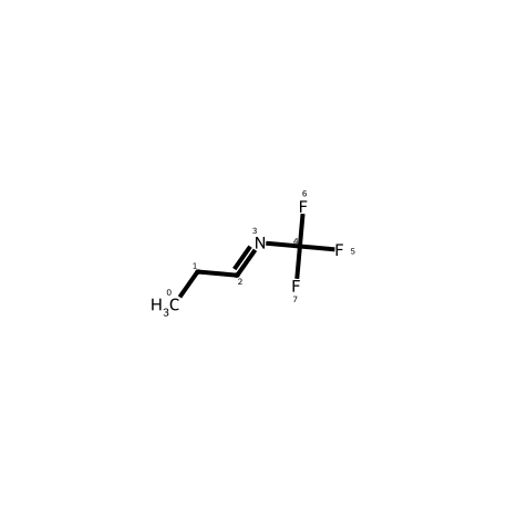 CCC=NC(F)(F)F